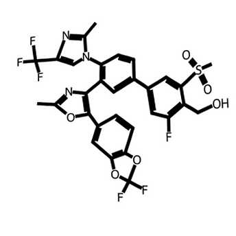 Cc1nc(-c2cc(-c3cc(F)c(CO)c(S(C)(=O)=O)c3)ccc2-n2cc(C(F)(F)F)nc2C)c(-c2ccc3c(c2)OC(F)(F)O3)o1